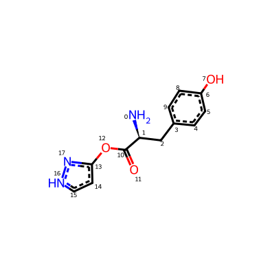 N[C@@H](Cc1ccc(O)cc1)C(=O)Oc1cc[nH]n1